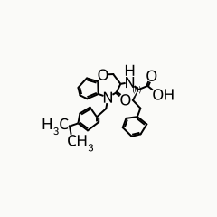 CC(C)c1ccc(CN2C(=O)C(N[C@H](CCc3ccccc3)C(=O)O)COc3ccccc32)cc1